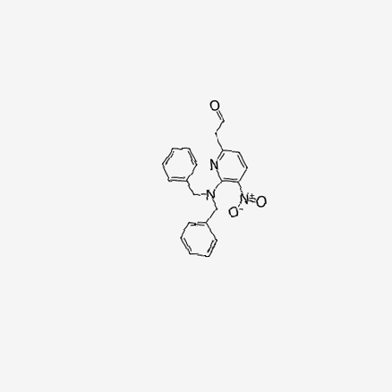 O=CCc1ccc([N+](=O)[O-])c(N(Cc2ccccc2)Cc2ccccc2)n1